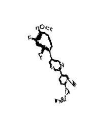 CCCCCCCCc1ccc(-c2cnc(-c3ccc(OCCCC)nc3)nc2)c(F)c1F